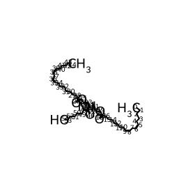 CCCCC/C=C\C/C=C\CCCCCCCC(=O)OCCN(CCOC(=O)CCCCCCC/C=C\C/C=C\CCCCC)C(=O)C(N)CCCCCO